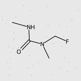 CNC(=O)N(C)CF